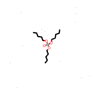 CCCCCO[Si]([O])(OCCCCC)OCCCCC